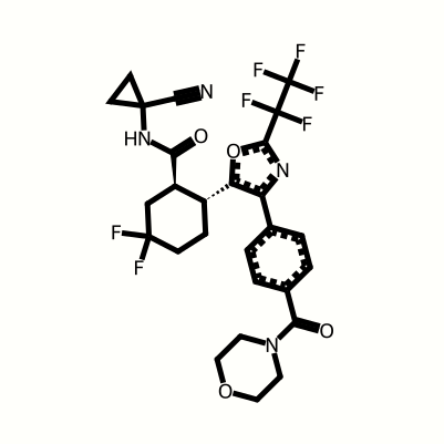 N#CC1(NC(=O)[C@@H]2CC(F)(F)CC[C@H]2c2oc(C(F)(F)C(F)(F)F)nc2-c2ccc(C(=O)N3CCOCC3)cc2)CC1